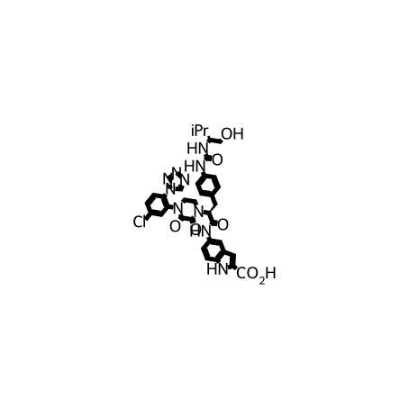 CC(C)[C@@H](CO)NC(=O)Nc1ccc(C[C@@H](C(=O)Nc2ccc3[nH]c(C(=O)O)cc3c2)N2CCN(c3cc(Cl)ccc3-n3cnnn3)C(=O)C2=O)cc1